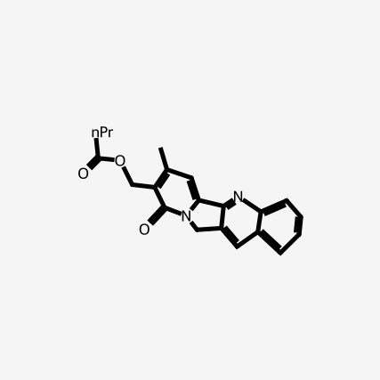 CCCC(=O)OCc1c(C)cc2n(c1=O)Cc1cc3ccccc3nc1-2